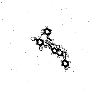 C[C@]12Cc3cnn(-c4ccc(F)cc4)c3C=C1CC[C@@H]2CN(CCc1ccccc1F)S(=O)(=O)Cc1ccc(Cl)cc1Cl